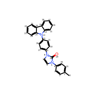 Cc1ccc(-n2ccn(-c3ccc(-n4c5ccccc5c5ccccc54)cc3)c2=O)cc1